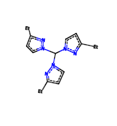 CCc1ccn(C(n2ccc(CC)n2)n2ccc(CC)n2)n1